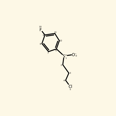 [O-][S+](CCCCl)c1ccc(F)cc1